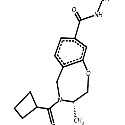 C[C@H]1COc2cc(C(=O)NO)ccc2CN1C(=O)C1CCC1